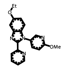 CCOc1ccc2c(c1)nc(-c1ccccn1)n2-c1ccc(OC)nc1